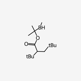 CBC(C)(C)OC(=O)C(CC(C)(C)C)C(C)(C)C